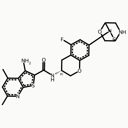 Cc1cc(C)c2c(N)c(C(=O)N[C@H]3COc4cc(N5CC6COC(CN6)C5)cc(F)c4C3)sc2n1